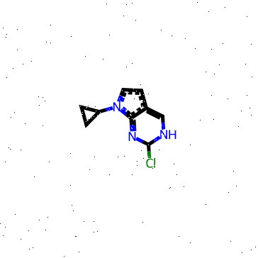 ClC1N=c2c(ccn2C2CC2)=CN1